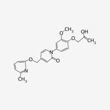 C=C(O)COc1ccc(-n2ccc(COc3cccc(C)n3)cc2=O)cc1OC